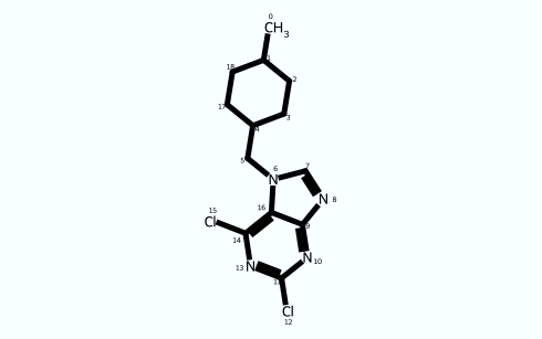 CC1CCC(Cn2cnc3nc(Cl)nc(Cl)c32)CC1